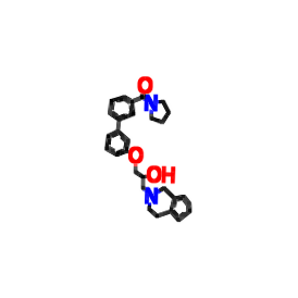 O=C(c1cccc(-c2cccc(OCC(O)CN3CCc4ccccc4C3)c2)c1)N1CCCC1